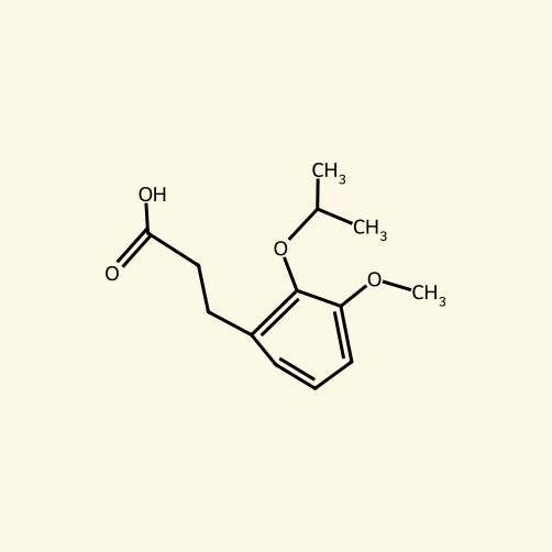 COc1cccc(CCC(=O)O)c1OC(C)C